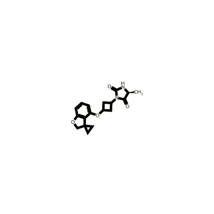 C[C@@H]1NC(=O)N(C2CC(Oc3cccc4c3C3(CC3)CO4)C2)C1=O